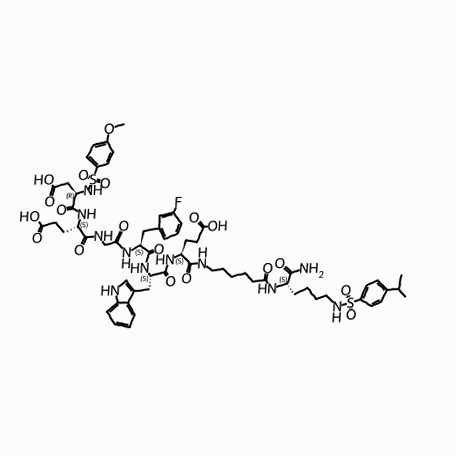 COc1ccc(S(=O)(=O)N[C@H](CC(=O)O)C(=O)N[C@@H](CCC(=O)O)C(=O)NCC(=O)N[C@@H](Cc2cccc(F)c2)C(=O)N[C@@H](Cc2c[nH]c3ccccc23)C(=O)N[C@@H](CCC(=O)O)C(=O)NCCCCCC(=O)N[C@@H](CCCCNS(=O)(=O)c2ccc(C(C)C)cc2)C(N)=O)cc1